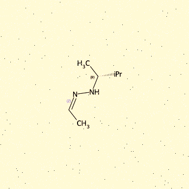 C/C=N\N[C@H](C)C(C)C